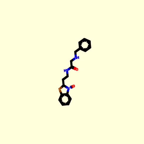 O=C(CNCc1ccccc1)NCCC1Sc2ccccc2[N+]1=O